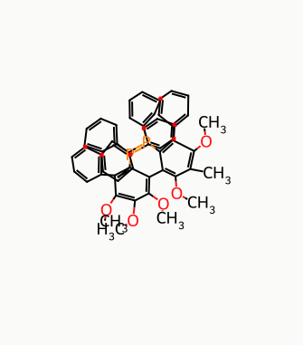 COc1c(OC)c(-c2ccccc2)c(P(c2ccccc2)c2ccccc2)c(-c2c(OC)c(C)c(OC)c(-c3ccccc3)c2P(c2ccccc2)c2ccccc2)c1OC